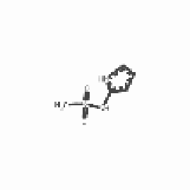 CS(=O)(=O)Nc1ccc[nH]1